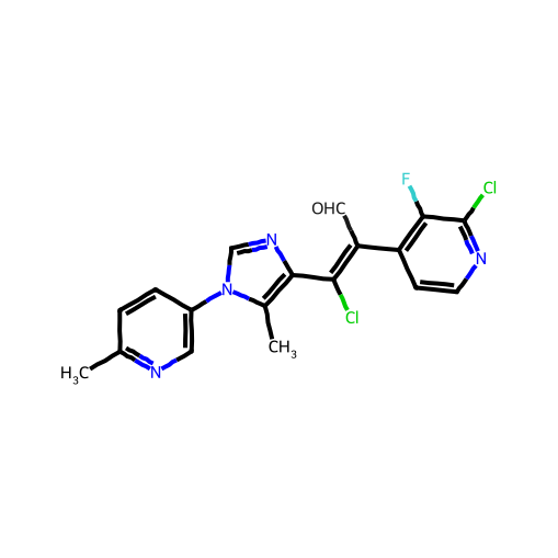 Cc1ccc(-n2cnc(/C(Cl)=C(\C=O)c3ccnc(Cl)c3F)c2C)cn1